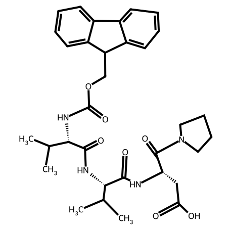 CC(C)[C@H](NC(=O)OCC1c2ccccc2-c2ccccc21)C(=O)N[C@H](C(=O)N[C@@H](CC(=O)O)C(=O)N1CCCC1)C(C)C